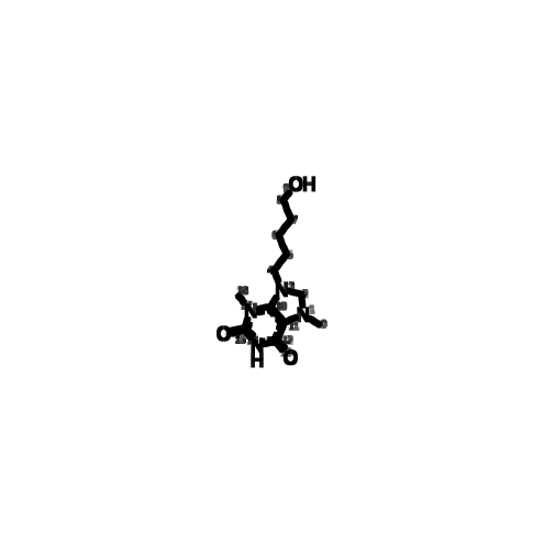 CN1CN(CCCCCO)c2c1c(=O)[nH]c(=O)n2C